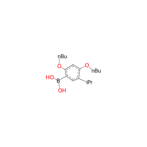 CCCCOc1cc(OCCCC)c(C(C)C)cc1B(O)O